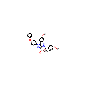 CCOc1ccc(-c2c(NC(=O)c3ccc(OC(C)C)cc3)c(C(=O)OC)nn2-c2ccc(Oc3ccccc3)cc2)cc1